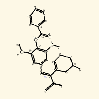 C=C(C)/C(=C/c1cc(OC)c(OC(=O)c2ccccc2)c(OC)c1)C1=CCCC(C)C1